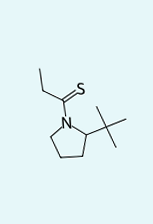 CCC(=S)N1CCCC1C(C)(C)C